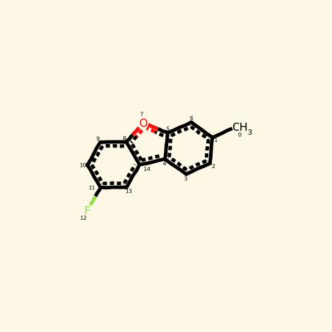 Cc1ccc2c(c1)oc1ccc(F)cc12